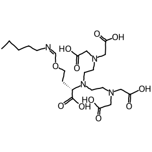 CCCCC/N=C\OCC[C@@H](C(=O)O)N(CCN(CC(=O)O)CC(=O)O)CCN(CC(=O)O)CC(=O)O